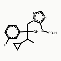 CC(C1CC1)C(O)(Cn1ncnc1SC(=O)O)c1cccc(F)c1